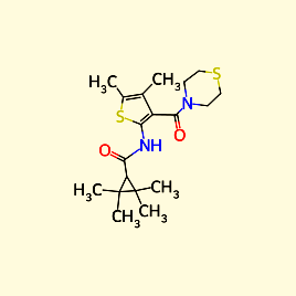 Cc1sc(NC(=O)C2C(C)(C)C2(C)C)c(C(=O)N2CCSCC2)c1C